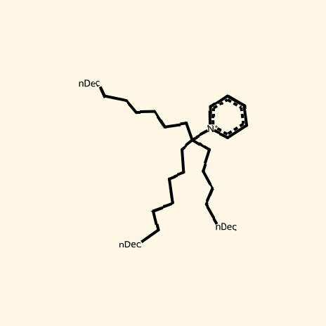 CCCCCCCCCCCCCCCCC(CCCCCCCCCCCCCC)(CCCCCCCCCCCCCCCC)[n+]1ccccc1